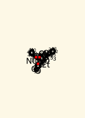 CC[C@H](c1ccc2c(c1)OCO2)N1C(=O)[C@](C)(SC(=O)Cc2ccccc2)N(C)C(=O)[C@]1(CCC#N)SC(=O)Cc1ccccc1